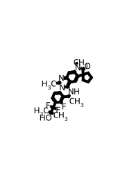 Cc1nc(NC(C)c2cccc(C(F)(F)C(C)(C)O)c2F)c2cc3c(cc2n1)N(C)C(=O)C31CCCC1